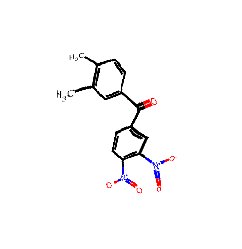 Cc1ccc(C(=O)c2ccc([N+](=O)[O-])c([N+](=O)[O-])c2)cc1C